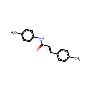 Cc1ccc(/C=C/C(=O)Nc2ccc(C)cc2)cc1